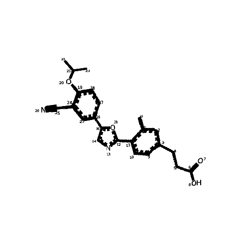 Cc1cc(CCC(=O)O)ccc1-c1ncc(-c2ccc(OC(C)C)c(C#N)c2)o1